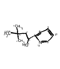 CC(C)(C)CC(O)c1ccccn1